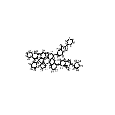 Cn1c(-c2ccccc2)nc2ccc(-c3cccc4c(-c5cccc6c5-c5ccccc5C65c6ccccc6-c6c5ccc5ccccc65)c5cccc(-c6ccc7nc(-c8ccccc8)n(C)c7c6)c5cc34)cc21